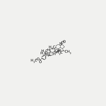 C=C(C)[C@@H]1CC[C@]2(N=C=O)CC[C@]3(C)[C@H](CC[C@@H]4[C@@]5(C)CC=C(c6ccc(C(=O)OC)cc6)C(C)(C)[C@@H]5CC[C@]43C)C12